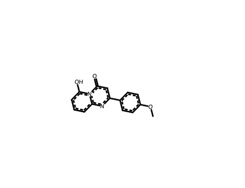 COc1ccc(-c2cc(=O)n3c(O)cccc3n2)cc1